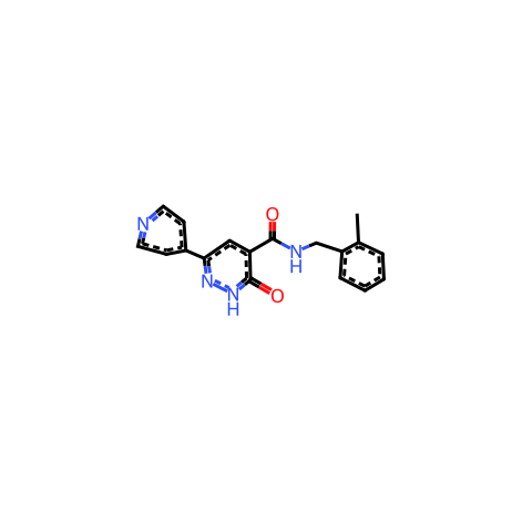 Cc1ccccc1CNC(=O)c1cc(-c2ccncc2)n[nH]c1=O